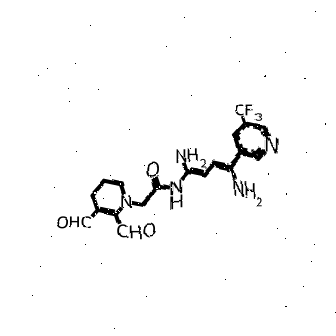 N/C(=C\C=C(/N)NC(=O)CN1CCCC(C=O)=C1C=O)c1cncc(C(F)(F)F)c1